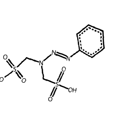 O=S(=O)(O)CN(CS(=O)(=O)O)/N=N/c1ccccc1